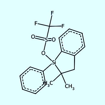 CC1(C)Cc2ccccc2[Si]1(OS(=O)(=O)C(F)(F)F)c1ccccc1